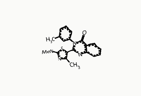 CNc1nc(C)c(-c2nc3ccccc3c(=O)n2-c2cccc(C)c2)s1